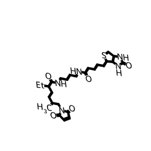 CCC(CCC(C)CN1C(=O)C=CC1=O)C(=O)NCCCCNC(=O)CCCCC1SCC2NC(=O)NC21